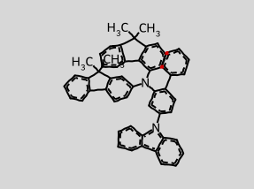 CC1(C)c2ccccc2-c2ccc(N(c3cc(-n4c5ccccc5c5ccccc54)ccc3-c3ccccc3)c3cccc4c3-c3ccccc3C4(C)C)cc21